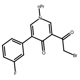 CCCn1cc(C(=O)CBr)c(=O)c(-c2cccc(F)c2)c1